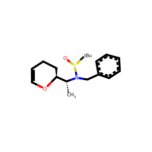 C[C@H]([C@@H]1CCC=CO1)N(Cc1ccccc1)[S+]([O-])C(C)(C)C